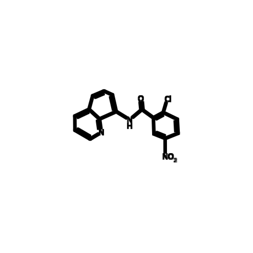 O=C(Nc1cccc2cccnc12)c1cc([N+](=O)[O-])ccc1Cl